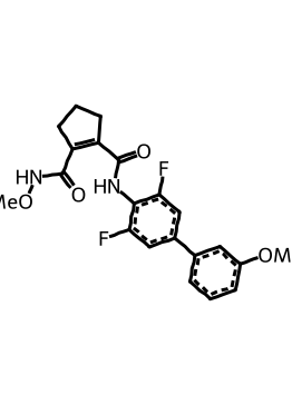 CONC(=O)C1=C(C(=O)Nc2c(F)cc(-c3cccc(OC)c3)cc2F)CCC1